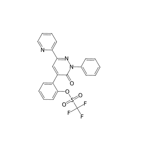 O=c1c(-c2ccccc2OS(=O)(=O)C(F)(F)F)cc(-c2ccccn2)nn1-c1ccccc1